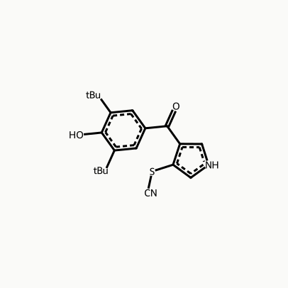 CC(C)(C)c1cc(C(=O)c2c[nH]cc2SC#N)cc(C(C)(C)C)c1O